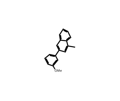 COc1cccc(-c2cc(C)c3ccccc3c2)c1